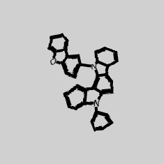 C1=CC2c3ccc4c(c3N(c3ccc5oc6ccccc6c5c3)C2C=C1)c1ccccc1n4-c1ccccc1